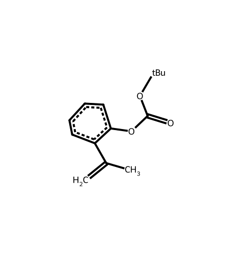 C=C(C)c1ccccc1OC(=O)OC(C)(C)C